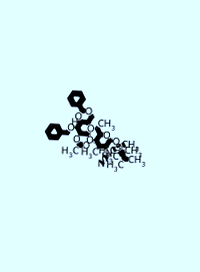 CCC1O[C@@H](O[Si](C)(C)C(C)(C)C(C)C)C(N=[N+]=[N-])[C@@H](C)[C@@H]1O[C@@H]1OC2COC(c3ccccc3)O[C@H]2[C@@H](OCc2ccccc2)[C@H]1OC(C)=O